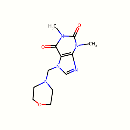 Cn1c(=O)c2c(ncn2CN2CCOCC2)n(C)c1=O